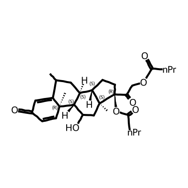 CCCC(=O)OCC(=O)[C@@]1(OC(=O)CCC)CC[C@H]2[C@@H]3CC(C)C4=CC(=O)C=C[C@]4(C)[C@H]3C(O)C[C@@]21C